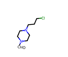 O=CN1CCN(CCCCl)CC1